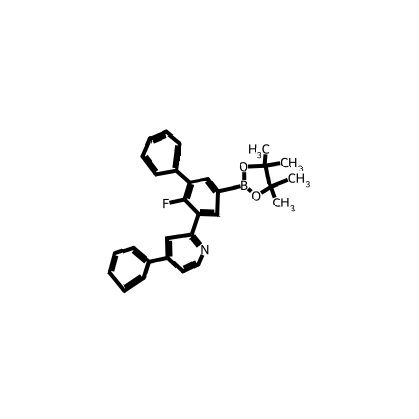 CC1(C)OB(c2cc(-c3ccccc3)c(F)c(-c3cc(-c4ccccc4)ccn3)c2)OC1(C)C